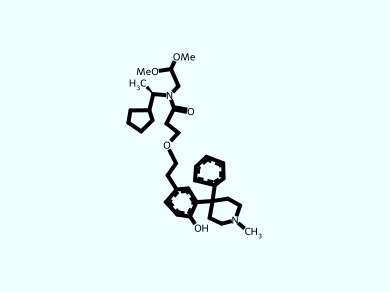 COC(CN(C(=O)CCOCCc1ccc(O)c(C2(c3ccccc3)CCN(C)CC2)c1)[C@H](C)C1CCCC1)OC